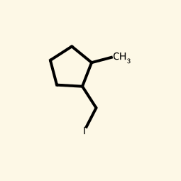 CC1CCCC1CI